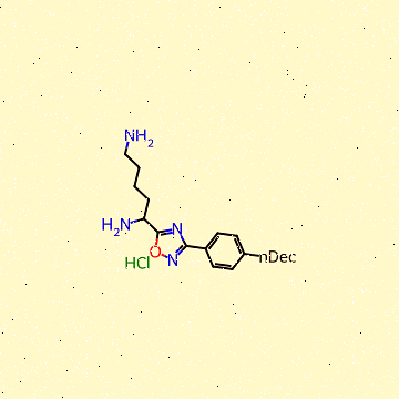 CCCCCCCCCCc1ccc(-c2noc(C(N)CCCCN)n2)cc1.Cl